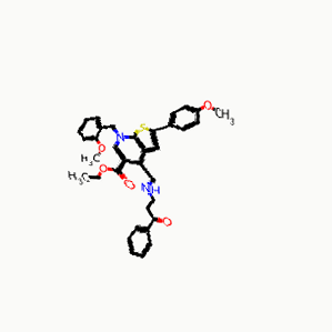 CCOC(=O)C1=CN(Cc2ccccc2OC)c2sc(-c3ccc(OC)cc3)cc2C1CNCCC(=O)c1ccccc1